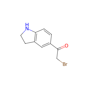 O=C(CBr)c1ccc2c(c1)CCN2